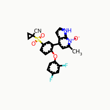 Cc1cc(-c2cc(S(=O)(=O)C3(C#N)CC3)ccc2Oc2ccc(F)cc2F)c2cc[nH]c2[n+]1[O-]